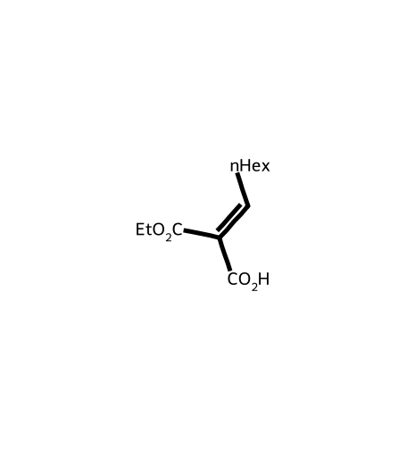 CCCCCCC=C(C(=O)O)C(=O)OCC